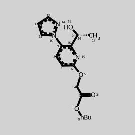 CCCCOC(=O)COc1ccc(-n2cccn2)c([C@@H](C)O)n1